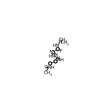 CCCC(=O)Nc1cccc(-c2ccc3[nH]nc(-c4nc5c(-c6cc(F)cc(NCCN(C)C)c6)cncc5[nH]4)c3c2)c1